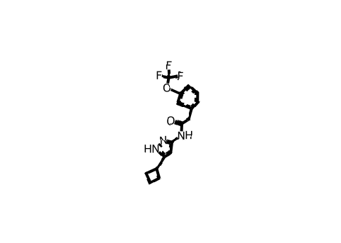 O=C(Cc1cccc(OC(F)(F)F)c1)Nc1cc(C2CCC2)[nH]n1